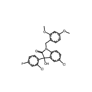 COc1ccc(CN2C(=O)C(O)(c3ccc(F)cc3Cl)c3cc(Cl)ccc32)c(OC)c1